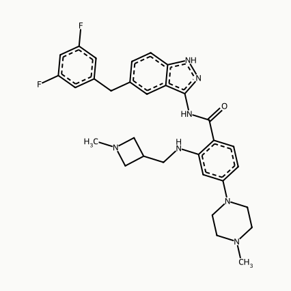 CN1CCN(c2ccc(C(=O)Nc3n[nH]c4ccc(Cc5cc(F)cc(F)c5)cc34)c(NCC3CN(C)C3)c2)CC1